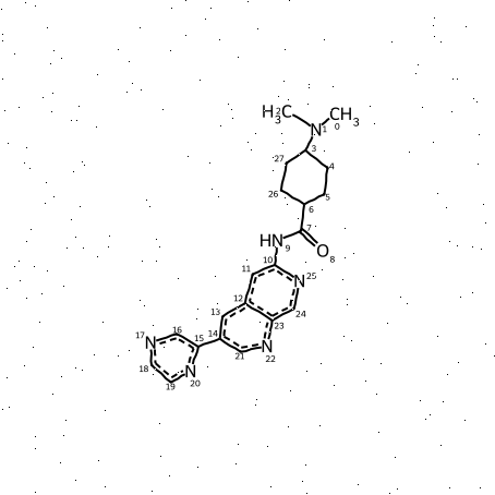 CN(C)C1CCC(C(=O)Nc2cc3cc(-c4cnccn4)cnc3cn2)CC1